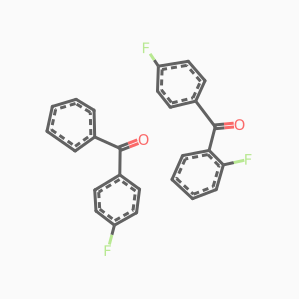 O=C(c1ccc(F)cc1)c1ccccc1F.O=C(c1ccccc1)c1ccc(F)cc1